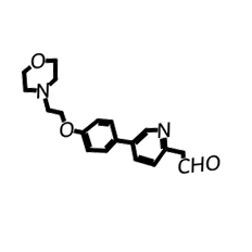 O=CCc1ccc(-c2ccc(OCCN3CCOCC3)cc2)cn1